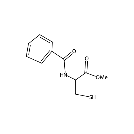 COC(=O)C(CS)NC(=O)c1ccccc1